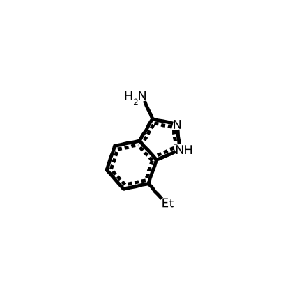 CCc1cccc2c(N)n[nH]c12